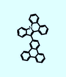 c1ccc2c(c1)c(-c1ccc3c4ccccc4c4ccccc4c3c1)c1c3ccccc3c3ccccc3n21